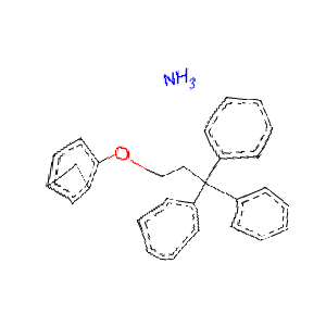 N.c1ccc(C(CCOc2ccc3cc2C3)(c2ccccc2)c2ccccc2)cc1